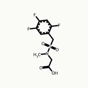 CN(CC(=O)O)S(=O)(=O)Cc1cc(F)c(F)cc1F